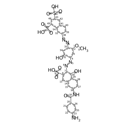 COc1cc(N=Nc2c(S(=O)(=O)O)cc3cc(NC(=O)c4ccc(N)cc4)ccc3c2O)c(O)cc1N=Nc1ccc2cc(S(=O)(=O)O)cc(S(=O)(=O)O)c2c1